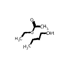 CCCCO.CCOC(C)=O